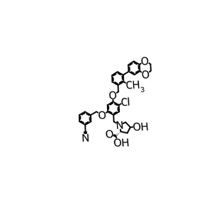 Cc1c(COc2cc(OCc3cccc(C#N)c3)c(CN3CC(O)C[C@@H]3C(=O)O)cc2Cl)cccc1-c1ccc2c(c1)OCCO2